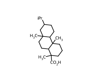 CC(C)C1CCC2C(C)(CCC3C(C)(C(=O)O)CCCC23C)C1